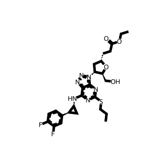 CCCSc1nc(N[C@@H]2C[C@H]2c2ccc(F)c(F)c2)c2nnn([C@@H]3C[C@H](CCC(=O)OCC)O[C@H]3CO)c2n1